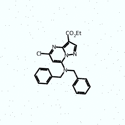 CCOC(=O)c1cnn2c(N(Cc3ccccc3)Cc3ccccc3)cc(Cl)nc12